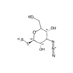 BS[C@H]1OC(CO)[C@H](O)C(N=[N+]=[N-])[C@@H]1O